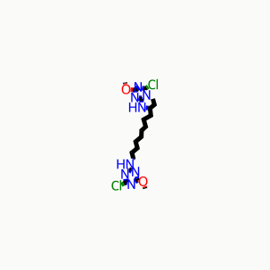 CCC(CCCCCCCCCNc1nc(Cl)nc(OC)n1)Nc1nc(Cl)nc(OC)n1